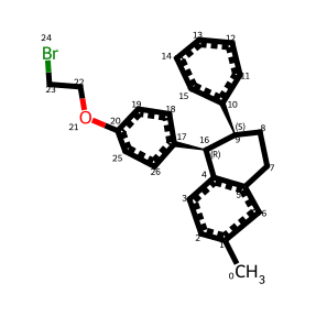 Cc1ccc2c(c1)CC[C@H](c1ccccc1)[C@@H]2c1ccc(OCCBr)cc1